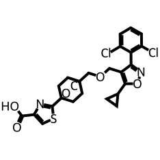 O=C(O)c1csc(C23CCC(COCc4c(-c5c(Cl)cccc5Cl)noc4C4CC4)(CC2)CO3)n1